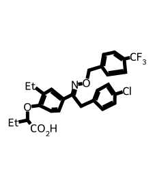 CCc1cc(C(Cc2ccc(Cl)cc2)=NOCc2ccc(C(F)(F)F)cc2)ccc1OC(CC)C(=O)O